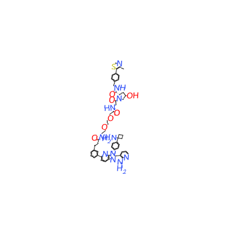 Cc1ncsc1-c1ccc(CNC(=O)[C@@H]2C[C@@H](O)CN2C(=O)CNC(=O)COCCOCCNC(=O)CCc2cccc(-c3ccc4nc(-c5cccnc5N)n(-c5ccc(C6(N)CCC6)cc5)c4n3)c2)cc1